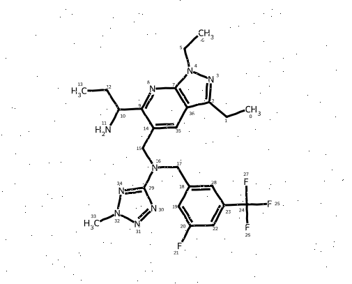 CCc1nn(CC)c2nc(C(N)CC)c(CN(Cc3cc(F)cc(C(F)(F)F)c3)c3nnn(C)n3)cc12